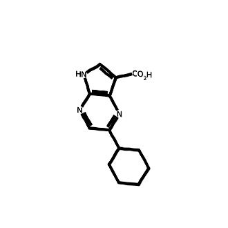 O=C(O)c1c[nH]c2ncc(C3CCCCC3)nc12